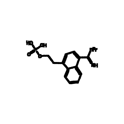 CCCC(=N)c1ccc(CCOP(=O)(O)O)c2ccccc12